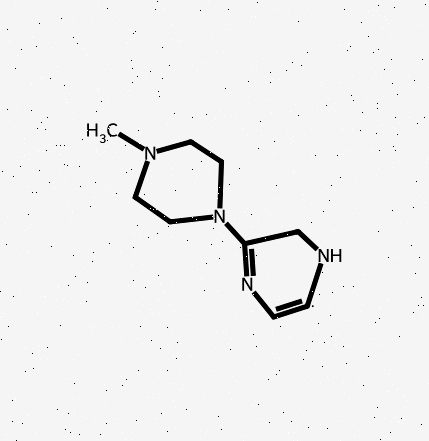 CN1CCN(C2=NC=[C]NC2)CC1